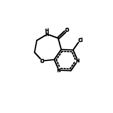 O=C1NCCOc2ncnc(Cl)c21